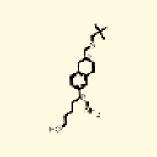 CC(C)(C)CSC[C@H]1CCc2cc([C@H](CN)CCCCO)ccc2C1